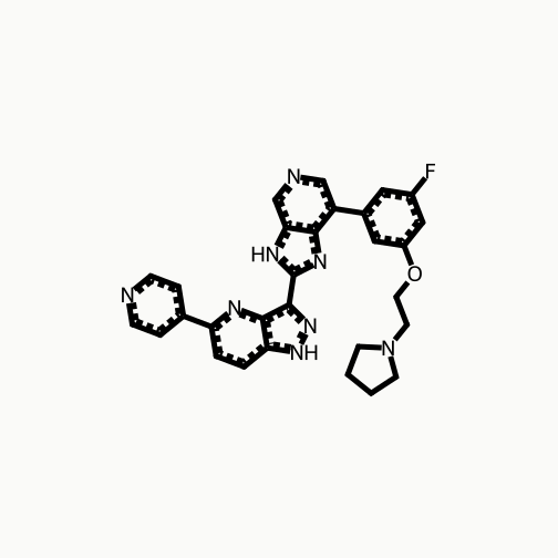 Fc1cc(OCCN2CCCC2)cc(-c2cncc3[nH]c(-c4n[nH]c5ccc(-c6ccncc6)nc45)nc23)c1